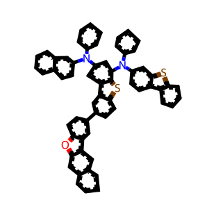 c1ccc(N(c2ccc3ccccc3c2)c2cc(N(c3ccccc3)c3ccc4c(c3)sc3ccccc34)c3sc4ccc(-c5ccc6oc7cc8ccccc8cc7c6c5)cc4c3c2)cc1